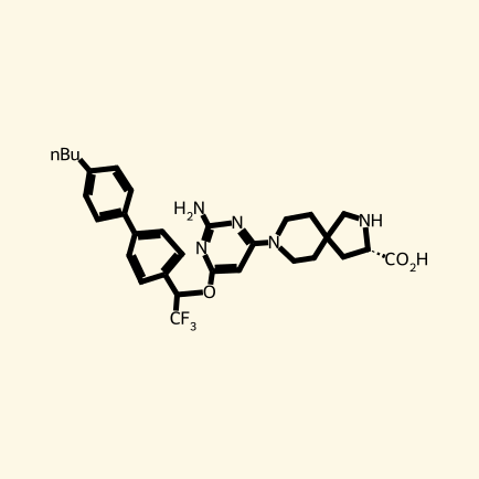 CCCCc1ccc(-c2ccc(C(Oc3cc(N4CCC5(CC4)CN[C@H](C(=O)O)C5)nc(N)n3)C(F)(F)F)cc2)cc1